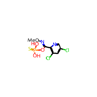 CON=C(OP(O)(O)=S)c1ncc(Cl)cc1Cl